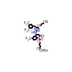 CC[C@@H]1C[C@H](Nc2ncc(OCCCC#N)c(Cc3cc(C(F)(F)F)cc(C(F)(F)F)c3)n2)c2cc(C(F)(F)F)ccc2N1C(=O)OCCCC(=O)OC